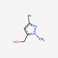 CC(C)c1cc(CO)n(C)n1